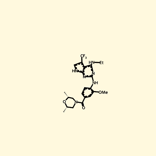 CCNc1nc(Nc2ccc(C(=O)N3C[C@@H](C)O[C@@H](C)C3)cc2OC)nc2[nH]cc(C(F)(F)F)c12